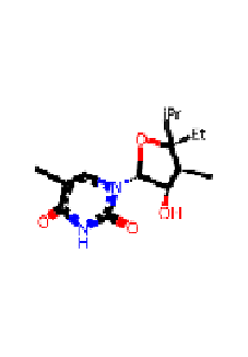 CC[C@]1(C(C)C)O[C@@H](n2cc(C)c(=O)[nH]c2=O)[C@H](O)[C@@H]1C